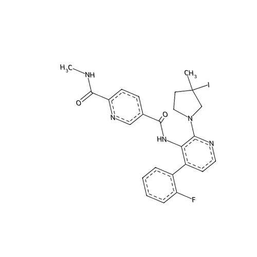 CNC(=O)c1ccc(C(=O)Nc2c(-c3ccccc3F)ccnc2N2CCC(C)(I)C2)cn1